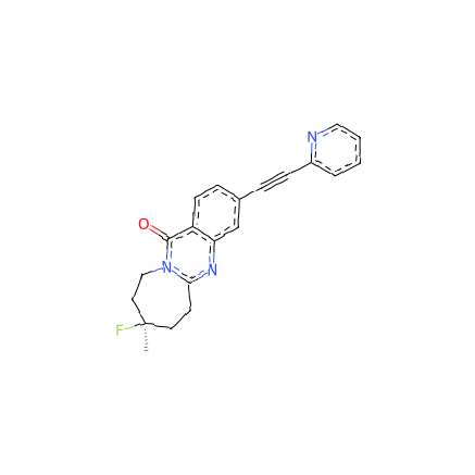 C[C@@]1(F)CCc2nc3cc(C#Cc4ccccn4)ccc3c(=O)n2CC1